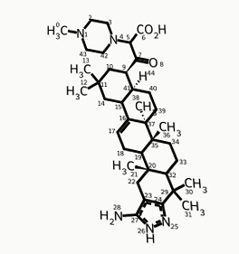 CN1CCN(C(C(=O)O)C(=O)[C@@H]2CC(C)(C)CC3C4=CCC5[C@@]6(C)Cc7c(n[nH]c7N)C(C)(C)C6CC[C@@]5(C)[C@]4(C)CC[C@@H]32)CC1